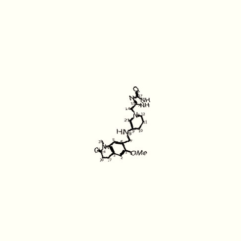 COc1cc2c(cc1CNC1CCCN(Cc3nc(=O)[nH][nH]3)C1)N(C)C(=O)CC2